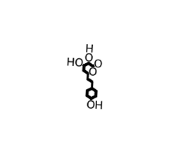 O=c1oc(/C=C/c2ccc(O)cc2)cc(O)c1O